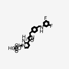 NC1C(c2cc(Cc3ccc(CNc4cc(F)cc(F)c4)cc3)no2)=CC=CN1COP(=O)(O)O